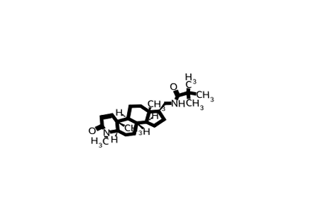 CN1C(=O)C=C[C@]2(C)[C@H]3CC[C@]4(C)[C@@H](CNC(=O)C(C)(C)C)CC[C@H]4[C@@H]3CC[C@@H]12